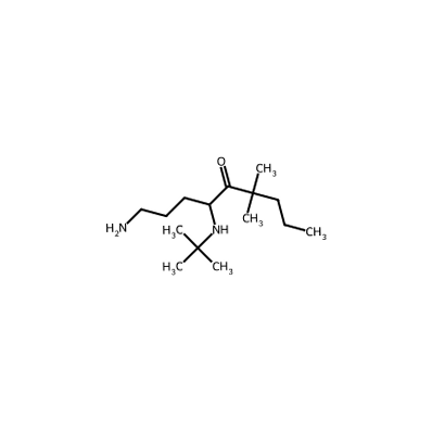 CCCC(C)(C)C(=O)C(CCCN)NC(C)(C)C